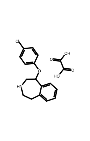 Clc1ccc(OC2CNCCc3ccccc32)cc1.O=C(O)C(=O)O